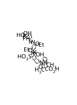 CCOc1cc(/N=N/c2c(S(=O)(=O)O)cc3ccc(NC(=O)C(C(C)C(=O)O)C(C)c4ccccc4)cc3c2O)c(OCC)cc1/N=N/c1cccc(P(O)(O)=P)c1